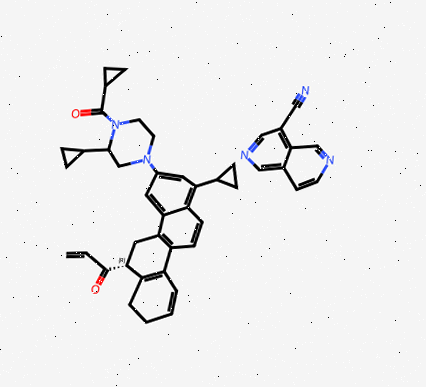 C=CC(=O)[C@@H]1Cc2c(ccc3c(C4CC4)cc(N4CCN(C(=O)C5CC5)C(C5CC5)C4)cc23)C2=C1CCC=C2.N#Cc1cncc2ccncc12